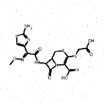 CON=C(C(=O)NC1C(=O)N2C(C(=O)O)=C(SCC(=O)O)SCC12)c1csc(N)n1